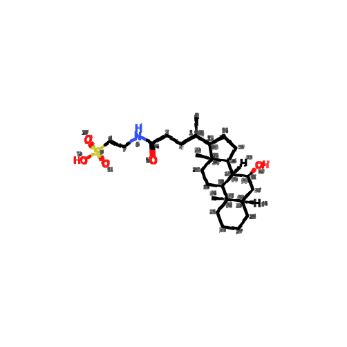 C[C@H](CCC(=O)NCCS(=O)(=O)O)[C@H]1CCC2[C@H]3C(CC[C@@]21C)[C@@]1(C)CCCC[C@H]1C[C@@H]3O